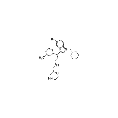 Cc1cccc(C(CCNCC2CNCCO2)c2cn(CC3CCCCC3)c3ccc(Br)cc23)c1